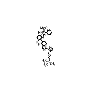 COc1ncc(F)cc1S(=O)(=O)Nc1ccc(F)c(-c2ccn3c(-c4nccn4COCC[Si](C)(C)C)ncc3c2F)c1F